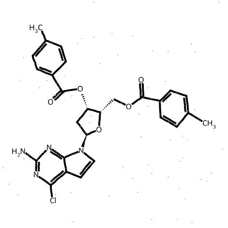 Cc1ccc(C(=O)OC[C@@H]2O[C@@H](n3ccc4c(Cl)nc(N)nc43)C[C@@H]2OC(=O)c2ccc(C)cc2)cc1